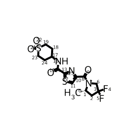 C[C@H]1CC(F)(F)CN1C(=O)c1csc(C(=O)NC2CCS(=O)(=O)CC2)n1